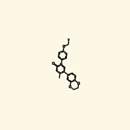 Cc1cc(=O)n(-c2ccc(OCF)cc2)cc1-c1ccc2c(c1)OCCO2